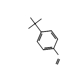 CC(C)(C)c1ccc(P=O)cc1